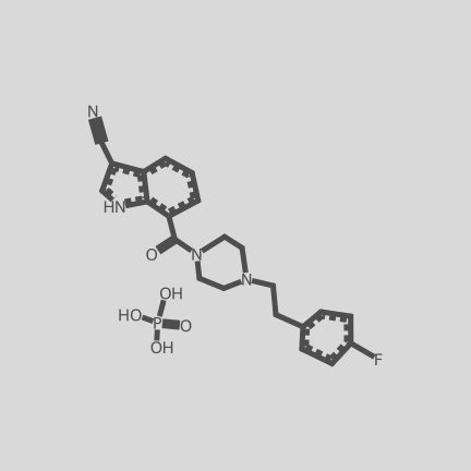 N#Cc1c[nH]c2c(C(=O)N3CCN(CCc4ccc(F)cc4)CC3)cccc12.O=P(O)(O)O